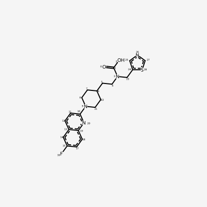 O=C(O)N(CCC1CCN(c2ccc3cc(F)ccc3n2)CC1)Cc1cncs1